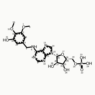 COc1cc(CNc2ncnc3c2ncn3[C@@H]2O[C@H](COP(=O)(O)O)[C@@H](O)[C@H]2O)cc(O)c1OC